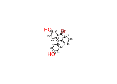 Oc1ccc(C(c2ccc(O)cc2)c2ccccc2CBr)cc1